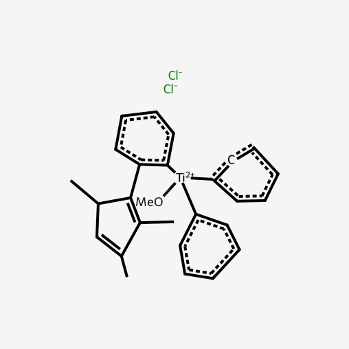 C[O][Ti+2]([c]1ccccc1)([c]1ccccc1)[c]1ccccc1C1=C(C)C(C)=CC1C.[Cl-].[Cl-]